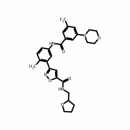 Cc1ccc(NC(=O)c2cc(N3CCOCC3)cc(C(F)(F)F)c2)cc1-c1cc(C(=O)NCC2CCCO2)on1